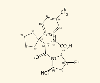 N#C[C@@H]1C[C@H](F)CN1C(=O)[C@@H](NC(=O)O)C1(c2ccc(C(F)(F)F)cc2)CCCC1